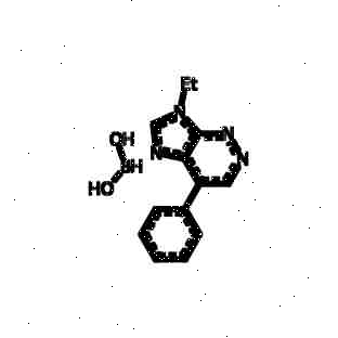 CCn1cnc2c(-c3ccccc3)cnnc21.OBO